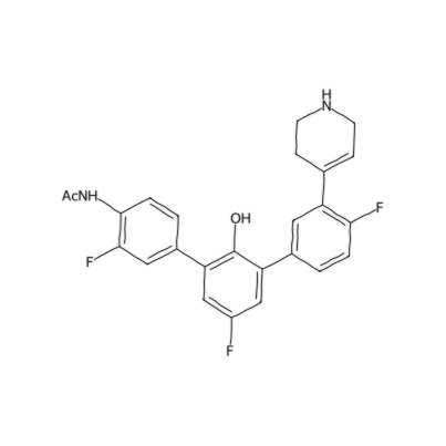 CC(=O)Nc1ccc(-c2cc(F)cc(-c3ccc(F)c(C4=CCNCC4)c3)c2O)cc1F